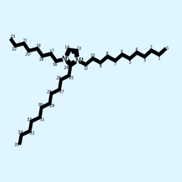 CCCCCCCCCCCC[n+]1ccn(CCCCCCCC)c1CCCCCCCCCCC